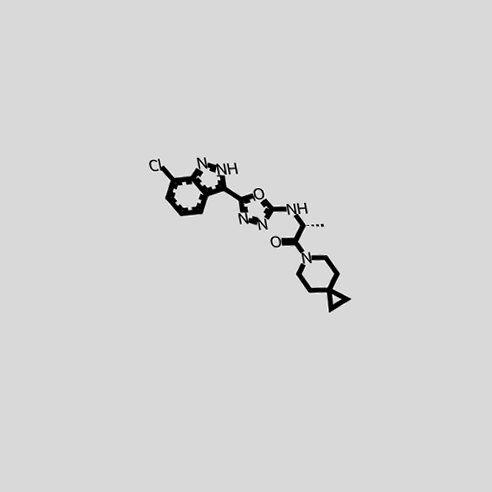 C[C@@H](Nc1nnc(-c2[nH]nc3c(Cl)cccc23)o1)C(=O)N1CCC2(CC1)CC2